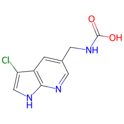 O=C(O)NCc1cnc2[nH]cc(Cl)c2c1